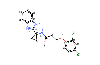 O=C(CCOc1ccc(Cl)cc1Cl)NC1(c2nc3ccccc3[nH]2)CC1